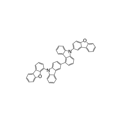 c1ccc2c(c1)oc1ccc(-n3c4ccccc4c4c(-c5ccc6c(c5)c5ccccc5n6-c5cccc6c5oc5ccccc56)cccc43)cc12